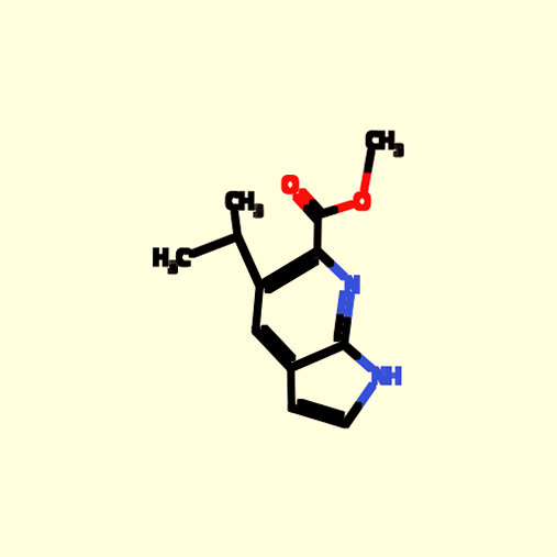 COC(=O)c1nc2[nH]ccc2cc1C(C)C